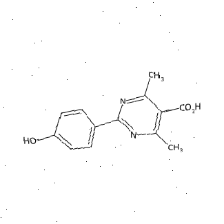 Cc1nc(-c2ccc(O)cc2)nc(C)c1C(=O)O